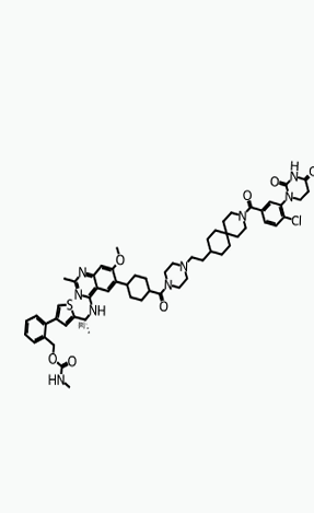 CNC(=O)OCc1ccccc1-c1csc([C@@H](C)Nc2nc(C)nc3cc(OC)c(C4CCC(C(=O)N5CCN(CCC6CCC7(CC6)CCN(C(=O)c6ccc(Cl)c(N8CCC(=O)NC8=O)c6)CC7)CC5)CC4)cc23)c1